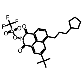 CC(C)(C)c1cc2c3c(ccc(CCCC4CCCC4)c3c1)C(=O)N(OS(=O)(=O)C(F)(F)F)C2=O